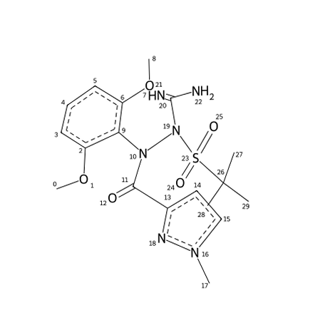 COc1cccc(OC)c1N(C(=O)c1ccn(C)n1)N(C(=N)N)S(=O)(=O)C(C)(C)C